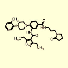 CCc1noc(CC)c1C(=O)Nc1cc(C(=O)NCCCN2CCCC2=O)ccc1N1CCN(c2ccccc2C)CC1